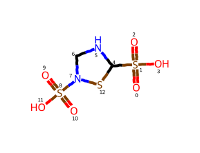 O=S(=O)(O)C1NCN(S(=O)(=O)O)S1